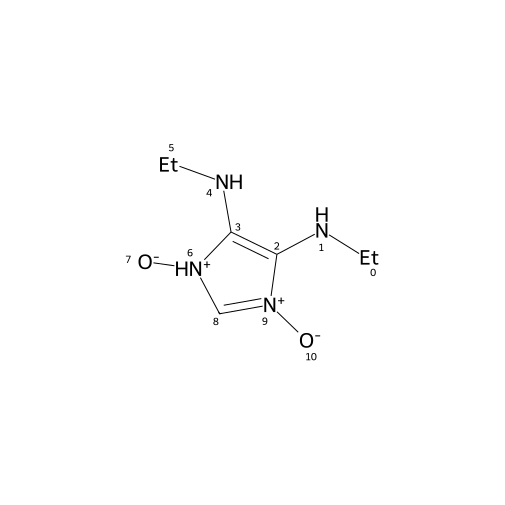 CCNC1=C(NCC)[NH+]([O-])C=[N+]1[O-]